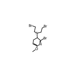 COC1=CCC(N(CCBr)CCBr)C(Br)=N1